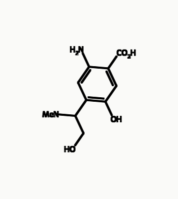 CNC(CO)c1cc(N)c(C(=O)O)cc1O